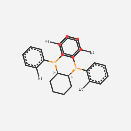 CCc1ccccc1P(c1ccccc1CC)[C@@H]1CCCC[C@@H]1P(c1ccccc1CC)c1ccccc1CC